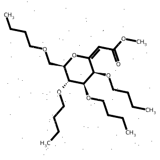 CCCCOC[C@H]1O/C(=C/C(=O)OC)[C@@H](OCCCC)[C@@H](OCCCC)[C@@H]1OCCCC